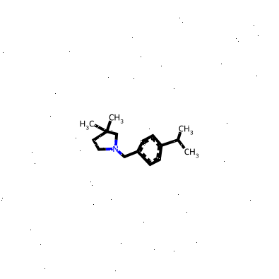 CC(C)c1ccc(CN2CCC(C)(C)C2)cc1